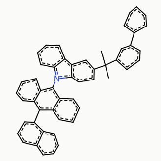 CC(C)(c1cccc(-c2ccccc2)c1)c1ccc2c(c1)c1ccccc1n2-c1c2ccccc2c(-c2cccc3ccccc23)c2ccccc12